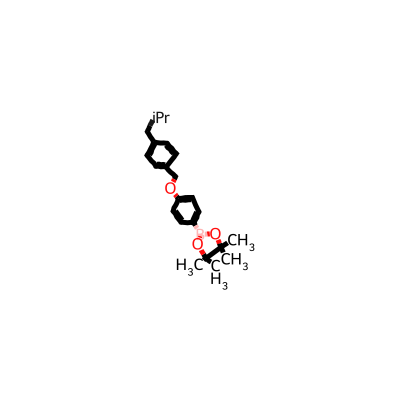 CC(C)Cc1ccc(COc2ccc(B3OC(C)(C)C(C)(C)O3)cc2)cc1